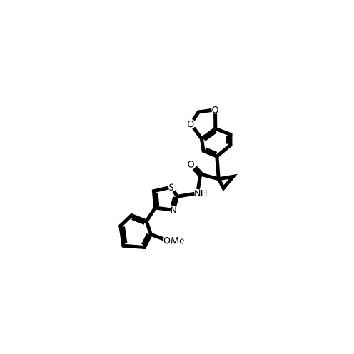 COc1ccccc1-c1csc(NC(=O)C2(c3ccc4c(c3)OCO4)CC2)n1